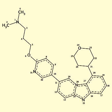 CN(C)CCCOc1ccc(-c2ccc3nc4cccc(C5CCOCC5)c4n3c2)cn1